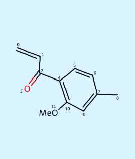 C=CC(=O)c1ccc(C)cc1OC